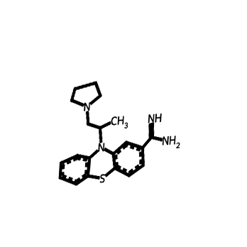 CC(CN1CCCC1)N1c2ccccc2Sc2ccc(C(=N)N)cc21